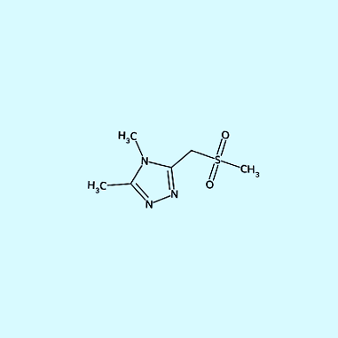 Cc1nnc(CS(C)(=O)=O)n1C